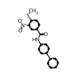 CSc1ccc(C(=O)Nc2ccc(-c3ccccc3)cc2)cc1[N+](=O)[O-]